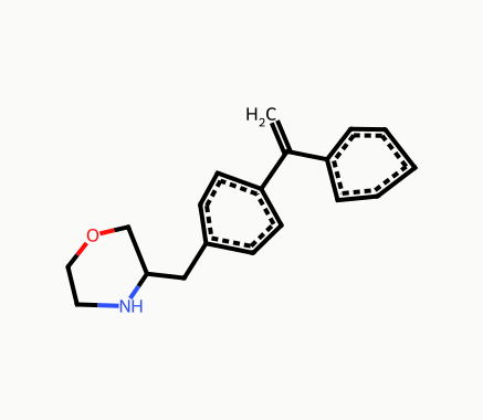 C=C(c1ccccc1)c1ccc(CC2COCCN2)cc1